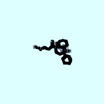 CC(C)(C)OCCC(=O)N1CC[C@@](O)(c2ccccc2)[C@@H]2CCCC[C@H]21